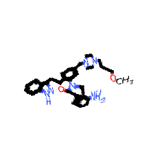 COCCCN1CCN(Cc2ccc(C=Cc3n[nH]c4ccccc34)c(N3Cc4c(N)cccc4C3=O)c2)CC1